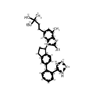 CCc1nc2c(C)cc(CCC(C)(O)C(C)(C)C)nc2n1C1CCc2cc(-c3ccccc3-c3nnn[nH]3)ccc21